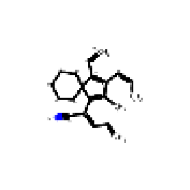 C=C/C=C(/C#N)C1=C(C)C(/C=C\C)=C(C=C)C12CCCCC2